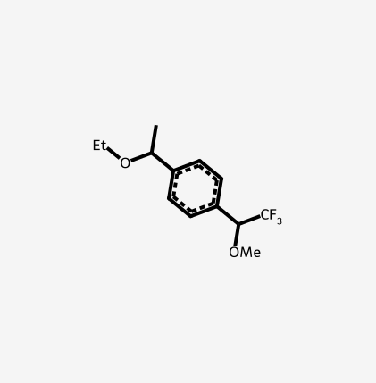 CCOC(C)c1ccc(C(OC)C(F)(F)F)cc1